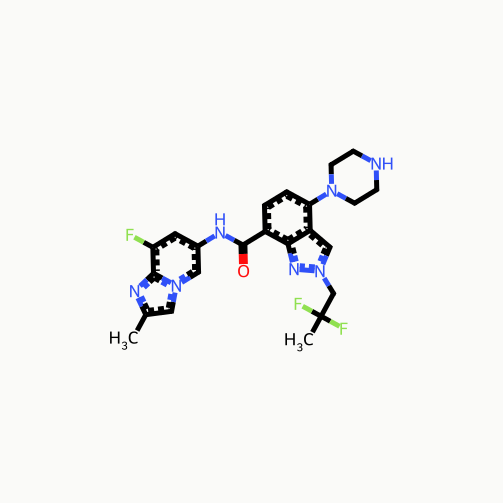 Cc1cn2cc(NC(=O)c3ccc(N4CCNCC4)c4cn(CC(C)(F)F)nc34)cc(F)c2n1